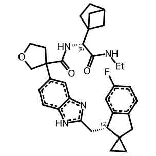 CCNC(=O)[C@H](NC(=O)C1(c2ccc3[nH]c(C[C@@H]4c5cc(F)ccc5CC45CC5)nc3c2)CCOC1)C12CCC(C1)C2